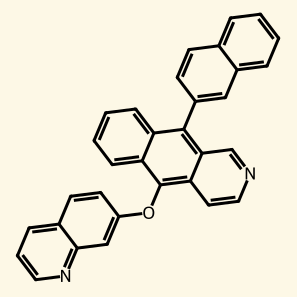 c1ccc2cc(-c3c4ccccc4c(Oc4ccc5cccnc5c4)c4ccncc34)ccc2c1